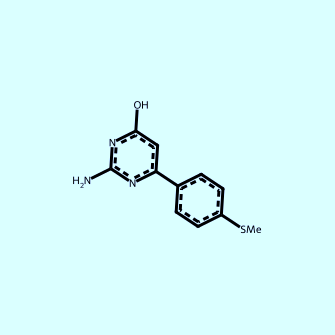 CSc1ccc(-c2cc(O)nc(N)n2)cc1